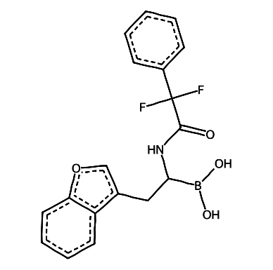 O=C(NC(Cc1coc2ccccc12)B(O)O)C(F)(F)c1ccccc1